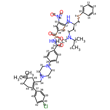 CC(C)N(C)CC[C@H](CSc1ccccc1)Nc1sc(S(=O)(=O)NC(=O)c2ccc(N3CCN(CC4=C(c5ccc(Cl)cc5)CCC(C)(C)C4)CC3)cc2)cc1[N+](=O)[O-]